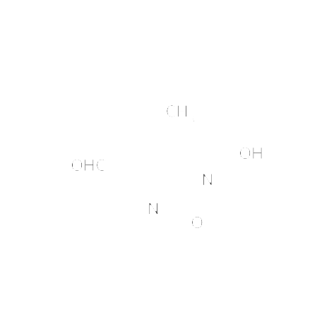 Cc1c(C=O)no[n+]1O